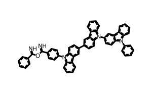 N=C(OC(=N)c1ccc(-n2c3ccccc3c3cc(-c4ccc5c(c4)c4ccccc4n5-c4ccc5c(c4)c4ccccc4n5-c4ccccc4)ccc32)cc1)c1ccccc1